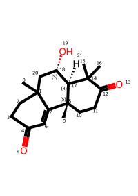 CC12CCC(=O)C=C1[C@@]1(C)CCC(=O)C(C)(C)[C@@H]1[C@@H](O)C2